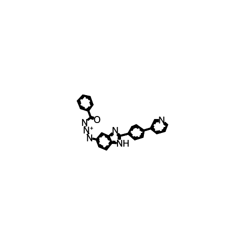 O=C(N=[N+]=Nc1ccc2[nH]c(-c3ccc(-c4cccnc4)cc3)nc2c1)c1ccccc1